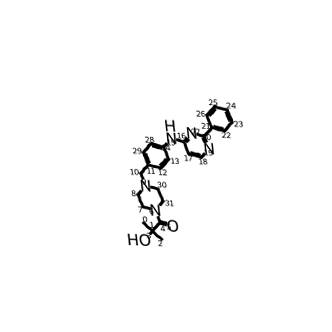 CC(C)(O)C(=O)N1CCN(Cc2ccc(Nc3ccnc(-c4ccccc4)n3)cc2)CC1